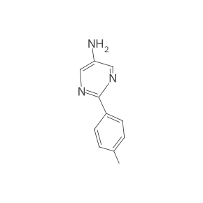 Cc1ccc(-c2ncc(N)cn2)cc1